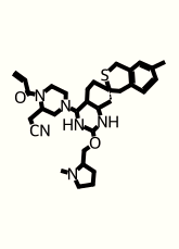 C=CC(=O)N1CCN(C2NC(OCC3CCCN3C)NC3C[C@@]4(CCC32)Cc2ccc(C)cc2CS4)CC1CC#N